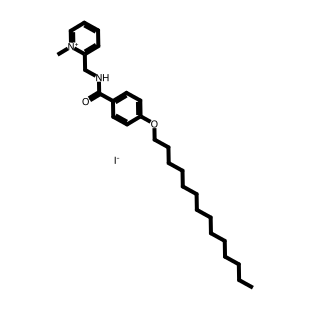 CCCCCCCCCCCCCCOc1ccc(C(=O)NCc2cccc[n+]2C)cc1.[I-]